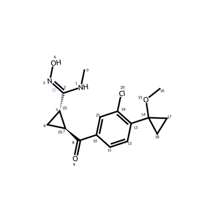 CN/C(=N\O)[C@H]1C[C@@H]1C(=O)c1ccc(C2(OC)CC2)c(Cl)c1